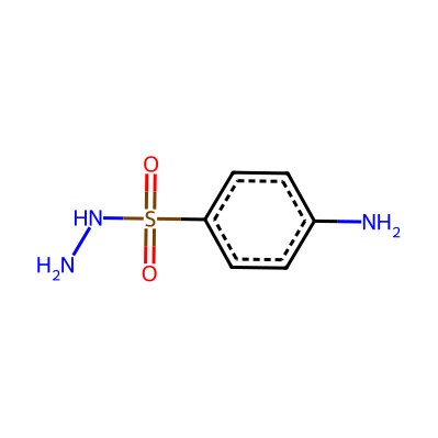 NNS(=O)(=O)c1ccc(N)cc1